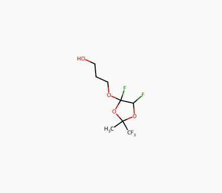 CC1(C(F)(F)F)OC(F)C(F)(OCCCO)O1